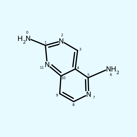 Nc1ncc2c(N)nccc2n1